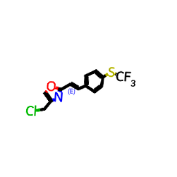 FC(F)(F)Sc1ccc(/C=C/c2nc(CCl)co2)cc1